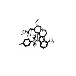 CC[C@@H]1CN2CCc3c(n(S(=O)(=O)c4ccc(C)cc4)c4cccc(OC)c34)[C@@H]2C/C1=C\C(=O)OC